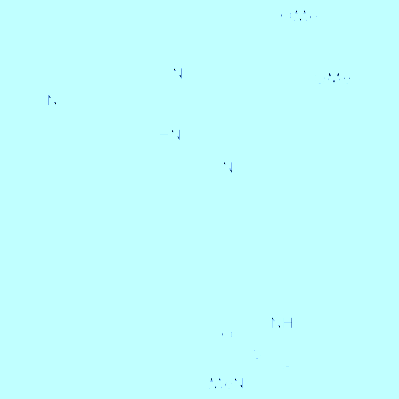 CNS(=O)(=O)NCCC1CCN(C2=c3cc(OC)c(OC)cc3=NC(c3ccncc3)N2)CC1